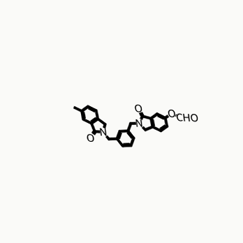 Cc1ccc2c(c1)C(=O)N(Cc1cccc(CN3Cc4ccc(OC=O)cc4C3=O)c1)C2